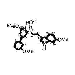 COc1cccc(-c2cc(NCCc3c[nH]c4cc(OC)ccc34)nc(OC)n2)c1.Cl